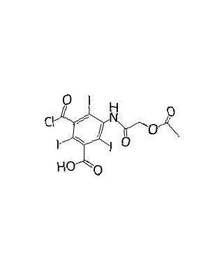 CC(=O)OCC(=O)Nc1c(I)c(C(=O)O)c(I)c(C(=O)Cl)c1I